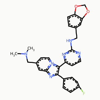 CN(C)Cc1ccn2c(-c3ccnc(NCc4ccc5c(c4)OCO5)n3)c(-c3ccc(F)cc3)nc2c1